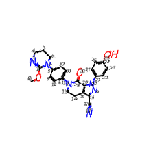 COC1=NCCCN1c1ccc(N2CCc3c(C#N)nn(-c4ccc(O)cc4)c3C2=O)cc1